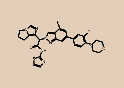 O=C(Nc1nccs1)C(c1ncn2c1CCC2)n1cc2c(F)cc(-c3ccc(N4CCOCC4)c(F)c3)cc2n1